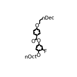 CCCCCCCCCCCCOc1ccc(C(=O)Oc2ccc(OCCCCCCCC)c(F)c2)cc1